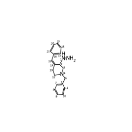 NNC1CN(Cc2ccccc2)CCC1=Cc1ccccc1